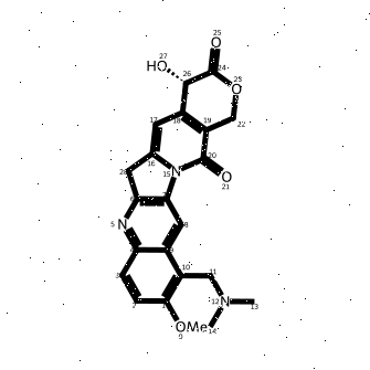 COc1ccc2nc3c(cc2c1CN(C)C)-n1c(cc2c(c1=O)COC(=O)[C@H]2O)C3